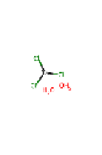 O.O.[Cl][Ta]([Cl])[Cl]